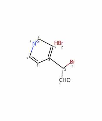 Br.O=C[C@@H](Br)c1ccncc1